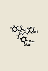 COc1cc2c(cc1OC)[C@H](CCc1cccc(Cl)c1)N(C(C(N)=O)c1ccccc1)CC2